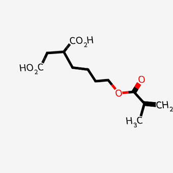 C=C(C)C(=O)OCCCCC(CC(=O)O)C(=O)O